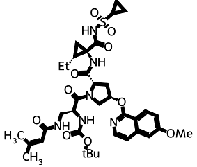 CC[C@@H]1C[C@]1(NC(=O)[C@@H]1C[C@@H](Oc2nccc3cc(OC)ccc23)CN1C(=O)[C@H](CNC(=O)C=C(C)C)NC(=O)OC(C)(C)C)C(=O)NS(=O)(=O)C1CC1